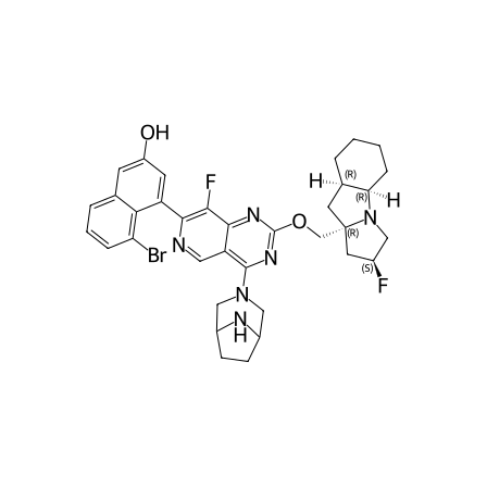 Oc1cc(-c2ncc3c(N4CC5CCC(C4)N5)nc(OC[C@@]45C[C@H](F)CN4[C@@H]4CCCC[C@@H]4C5)nc3c2F)c2c(Br)cccc2c1